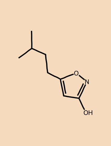 CC(C)CCc1cc(O)no1